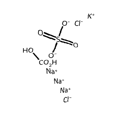 O=C(O)O.O=S(=O)([O-])[O-].[Cl-].[Cl-].[K+].[Na+].[Na+].[Na+]